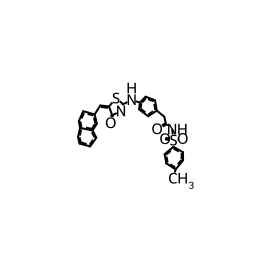 Cc1ccc(S(=O)(=O)NC(=O)Cc2ccc(NC3=NC(=O)C(=Cc4ccc5ccccc5c4)S3)cc2)cc1